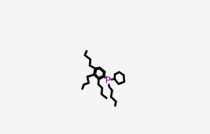 CCCCCP(c1ccc(CCCC)c(CCCC)c1CCCC)C1CCCCC1